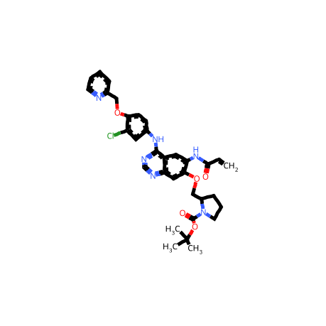 C=CC(=O)Nc1cc2c(Nc3ccc(OCc4ccccn4)c(Cl)c3)ncnc2cc1OCC1CCCN1C(=O)OC(C)(C)C